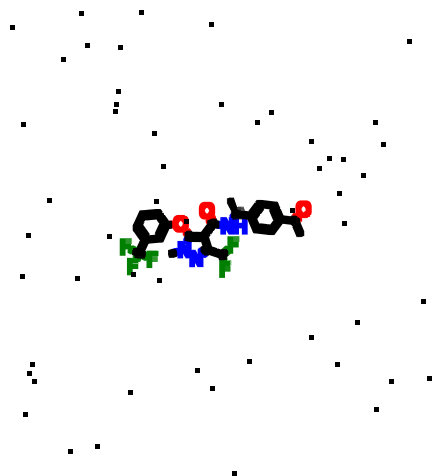 CC(=O)c1ccc([C@H](C)NC(=O)c2c(C(F)F)nn(C)c2Oc2cccc(C(F)(F)F)c2)cc1